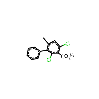 Cc1cc(Cl)c(C(=O)O)c(Cl)c1-c1ccccc1